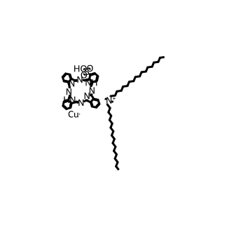 CCCCCCCCCCCCCCCCCC[N+](C)(C)CCCCCCCCCCCCCCCCCC.O=S(=O)(O)c1cccc2c3nc4nc(nc5[nH]c(nc6nc(nc([nH]3)c12)-c1ccccc1-6)c1ccccc51)-c1ccccc1-4.[Cu]